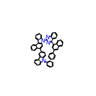 c1ccc(-c2cc(-c3nc(-n4c5ccccc5c5c6ccccc6c(-c6ccc7c(c6)c6ccccc6n7-c6ccccc6)cc54)nc4ccccc34)c3ccccc3c2)cc1